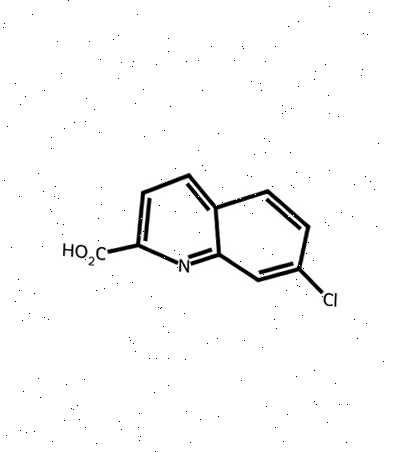 O=C(O)c1ccc2ccc(Cl)cc2n1